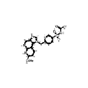 CCC(=O)NS(=O)(=O)c1ccc(Cn2cnc3cnc4nc(OC)ccc4c32)nc1